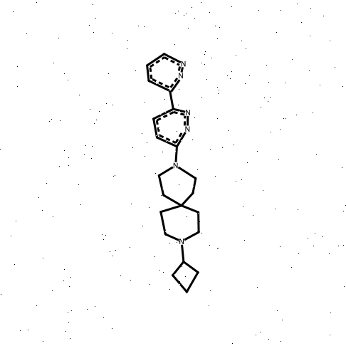 c1cnnc(-c2ccc(N3CCC4(CC3)CCN(C3CCC3)CC4)nn2)c1